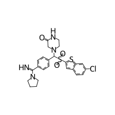 N=C(c1ccc(C(N2CCNC(=O)C2)S(=O)(=O)c2cc3ccc(Cl)cc3s2)cc1)N1CCCC1